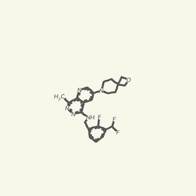 Cc1nnc(NCc2cccc(C(F)F)c2F)c2cc(N3CCC4(CC3)COC4)cnc12